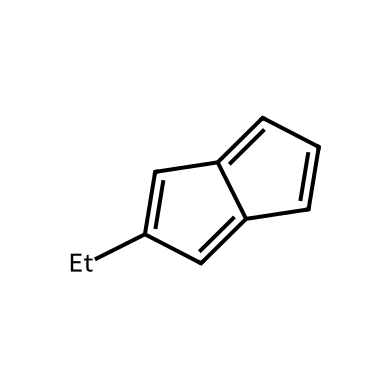 CCC1=CC2=CC=CC2=C1